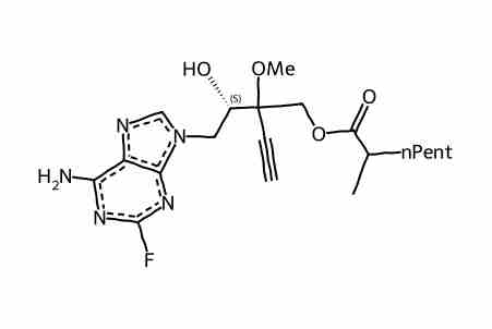 C#CC(COC(=O)C(C)CCCCC)(OC)[C@@H](O)Cn1cnc2c(N)nc(F)nc21